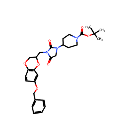 CC(C)(C)OC(=O)N1CCC(N2CC(=O)N(CC3COc4ccc(OCc5ccccc5)cc4O3)C2=O)CC1